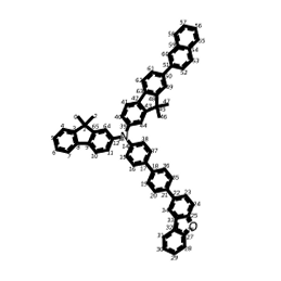 CC1(C)c2ccccc2-c2ccc(N(c3ccc(-c4ccc(-c5ccc6oc7ccccc7c6c5)cc4)cc3)c3ccc4c(c3)C(C)(C)c3cc(-c5ccc6ccccc6c5)ccc3-4)cc21